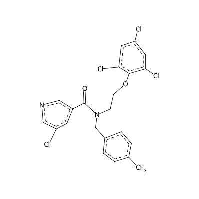 O=C(c1cncc(Cl)c1)N(CCOc1c(Cl)cc(Cl)cc1Cl)Cc1ccc(C(F)(F)F)cc1